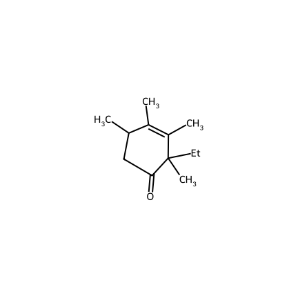 CCC1(C)C(=O)CC(C)C(C)=C1C